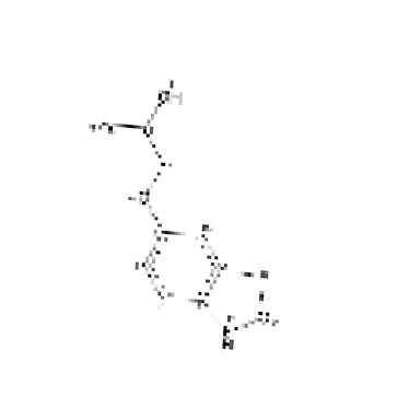 O=C(O)COc1ccc2c(c1)COB2